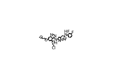 COCCOc1cc(OCCCl)c2c(Nc3cc(CC(=O)Nc4cccc(F)c4F)[nH]n3)ncnc2c1